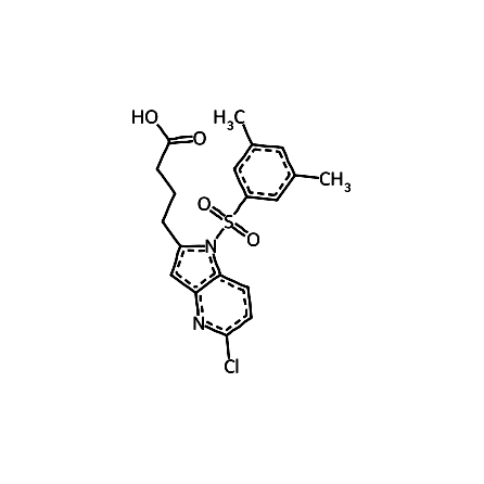 Cc1cc(C)cc(S(=O)(=O)n2c(CCCC(=O)O)cc3nc(Cl)ccc32)c1